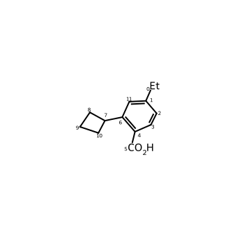 CCc1ccc(C(=O)O)c(C2CCC2)c1